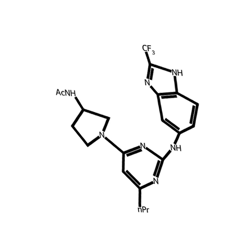 CCCc1cc(N2CCC(NC(C)=O)C2)nc(Nc2ccc3[nH]c(C(F)(F)F)nc3c2)n1